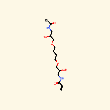 C=CC(=O)NCC(O)COCCCCOCC(O)CNC(=O)CC